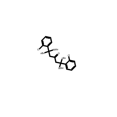 CCCCC(CC(=O)CC(CCCC)(NC)c1ccccc1Cl)(NC)c1ccccc1Cl